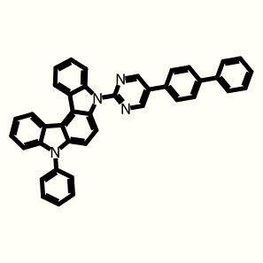 c1ccc(-c2ccc(-c3cnc(-n4c5ccccc5c5c6c7ccccc7n(-c7ccccc7)c6ccc54)nc3)cc2)cc1